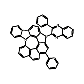 c1ccc(-c2nc3ccccc3nc2-n2c3cc(-c4ccccc4)c4ccc5cccc6c5c4c3c3c2ccc2c4ccccc4n6c23)cc1